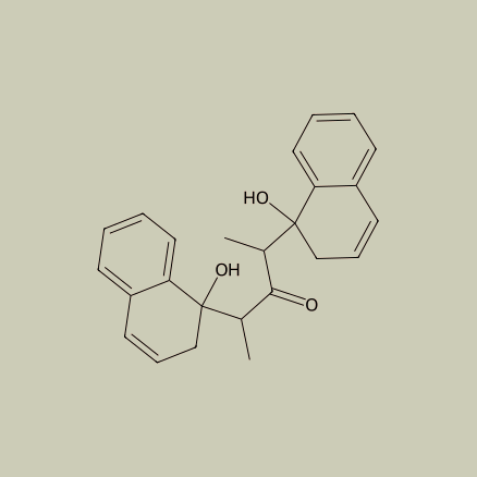 CC(C(=O)C(C)C1(O)CC=Cc2ccccc21)C1(O)CC=Cc2ccccc21